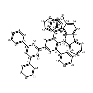 C1=C=CC(c2cc(C3=CCCC=C3)nc(-c3cc(-c4ccccc4)c(-n4c5ccccc5c5ccc6oc7c(c6c54)C=CCC7)c(-c4ccccc4)c3)n2)=CC=1